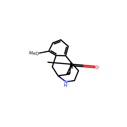 COc1cccc2c1CC1NCCC23CC(=O)CCC13